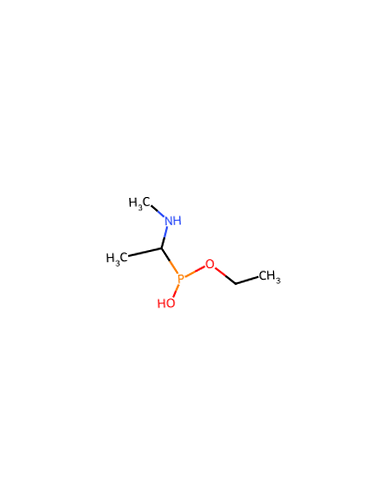 CCOP(O)C(C)NC